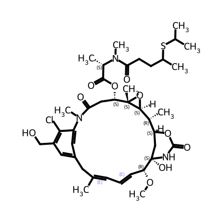 CO[C@@H]1/C=C/C=C(\C)Cc2cc(CO)c(Cl)c(c2)N(C)C(=O)C[C@H](OC(=O)[C@H](C)N(C)C(=O)CCC(C)SC(C)C)[C@]2(C)O[C@H]2[C@H](C)[C@@H]2C[C@@]1(O)NC(=O)O2